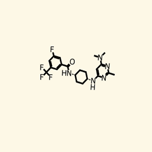 Cc1nc(N[C@H]2CC[C@@H](NC(=O)c3cc(F)cc(C(F)(F)F)c3)CC2)cc(N(C)C)n1